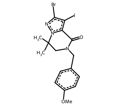 COc1ccc(CN2CC(C)(C)n3nc(Br)c(I)c3C2=O)cc1